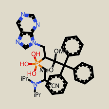 COC(OC)(C(Cn1cnc2cncnc21)P(O)(O)(O)CC(C#N)N(C(C)C)C(C)C)C(c1ccccc1)(c1ccccc1)c1ccccc1